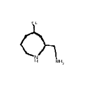 CCC1CCCNC(CN)C1